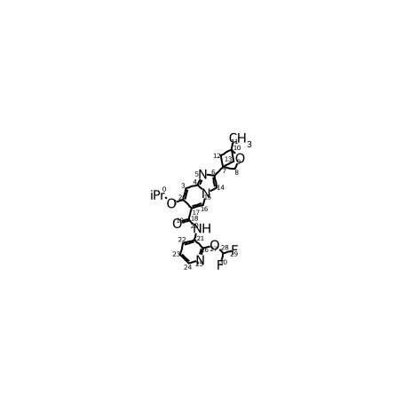 CC(C)Oc1cc2nc(C34COC(C)(C3)C4)cn2cc1C(=O)Nc1cccnc1OC(F)F